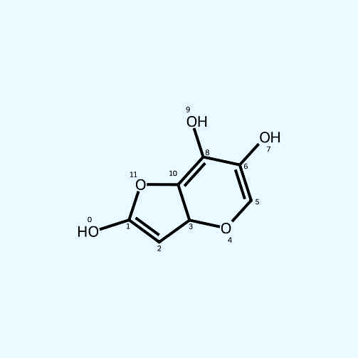 OC1=CC2OC=C(O)C(O)=C2O1